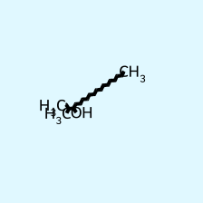 CCCCCCCCCCCCCCCC(O)C(C)CC